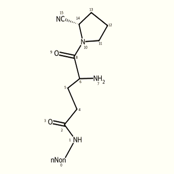 CCCCCCCCCNC(=O)CCC(N)C(=O)N1CCC[C@H]1C#N